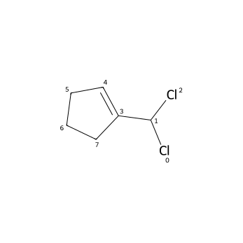 ClC(Cl)C1=CCCC1